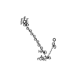 CCCCCCCCCCCN(C(=O)CCCCCCCCCC(=O)OCc1ccccc1)[C@@H](CCC(=O)NCCOCCOCCOCCOCCOCCOCCOCCOCCC(=O)Oc1c(F)c(F)c(F)c(F)c1F)C(C)=O